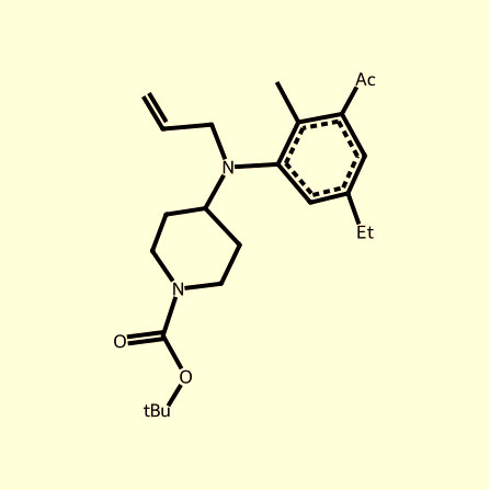 C=CCN(c1cc(CC)cc(C(C)=O)c1C)C1CCN(C(=O)OC(C)(C)C)CC1